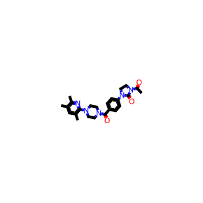 CC(=O)N1CCN(c2ccc(C(=O)N3CCN(c4nc(C)c(C)cc4C)CC3)cc2)C1=O